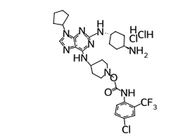 Cl.Cl.N[C@H]1CC[C@H](Nc2nc(NC3CCN(OC(=O)Nc4ccc(Cl)cc4C(F)(F)F)CC3)c3ncn(C4CCCC4)c3n2)CC1